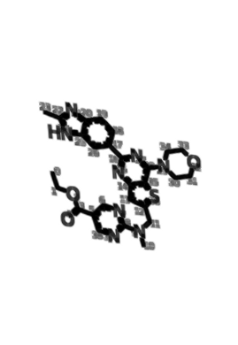 CCOC(=O)c1cnc(N(C)Cc2cc3nc(-c4ccc5nc(C)[nH]c5c4)nc(N4CCOCC4)c3s2)nc1